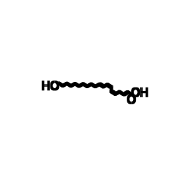 O=C(O)C=CC\C=C/C=C\C=C\CCCCCCCCCCO